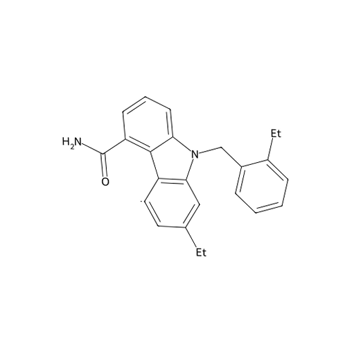 CCc1c[c]c2c3c(C(N)=O)cccc3n(Cc3ccccc3CC)c2c1